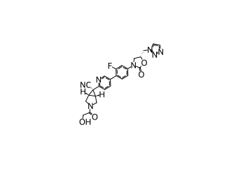 N#C[C@]1(c2ccc(-c3ccc(N4C[C@H](Cn5ccnn5)OC4=O)cc3F)cn2)[C@@H]2CN(C(=O)CO)C[C@@H]21